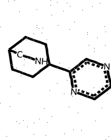 c1cnc(C23CCC(CC2)CN3)cn1